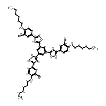 CCCCCCOc1ccc(-c2noc(-c3cc(-c4nc(-c5ccc(OCCCCCC)c(Br)c5)no4)cc(-c4nc(-c5ccc(OCCCCCC)c(Br)c5)no4)c3)n2)cc1Br